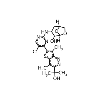 Cc1c(-c2nc(N[C@@H]3C[C@H]4CO[C@H](O4)[C@H]3O)ncc2Cl)sc2c(C)c(C(C)(C)O)nnc12